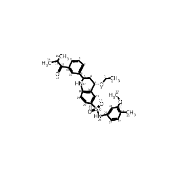 CCO[C@H]1CC(c2cccc(C(=O)C(C)C)c2)Nc2ccc(S(=O)(=O)Nc3ccc(C)c(OC)c3)cc21